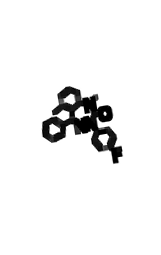 Cc1cccc2c1C(c1ccccc1)=NN(c1ccc(F)cc1)C(=O)N2C